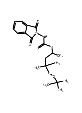 CC(CC(C)(C)OOC(C)(C)C)OC(=O)NN1C(=O)c2ccccc2C1=O